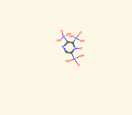 [O-][n+]1c([N+]([O-])(O)O)cnc([N+]([O-])(O)O)c1[N+]([O-])(O)O